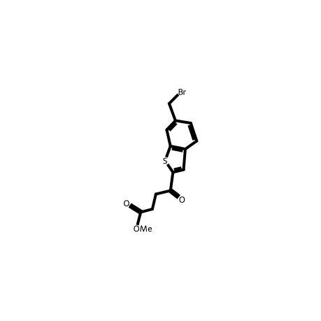 COC(=O)CCC(=O)c1cc2ccc(CBr)cc2s1